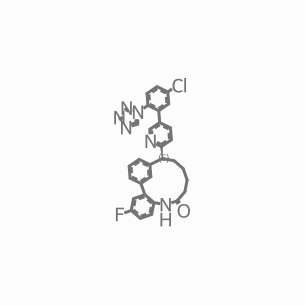 O=C1CCCC[C@H](c2ccc(-c3cc(Cl)ccc3-n3cnnn3)cn2)c2cccc(c2)-c2cc(F)ccc2N1